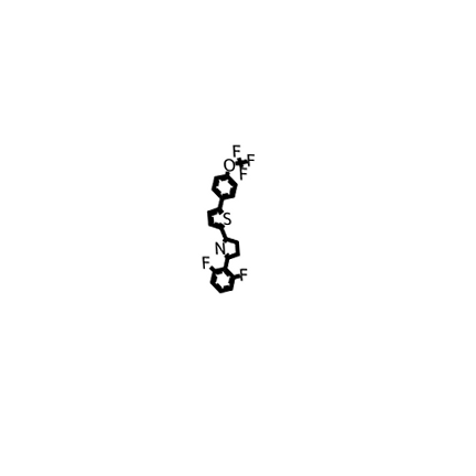 Fc1cccc(F)c1C1=NC(c2ccc(-c3ccc(OC(F)(F)F)cc3)s2)CC1